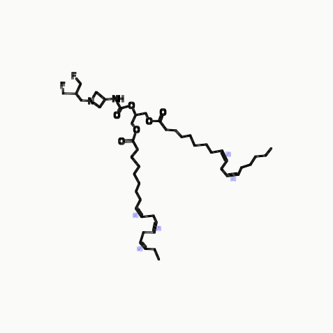 CC/C=C\C/C=C\C/C=C\CCCCCCCC(=O)OCC(COC(=O)CCCCCCC/C=C\C/C=C\CCCCC)OC(=O)NC1CN(CC(CF)CF)C1